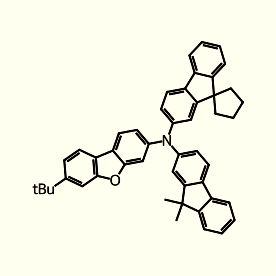 CC(C)(C)c1ccc2c(c1)oc1cc(N(c3ccc4c(c3)C(C)(C)c3ccccc3-4)c3ccc4c(c3)C3(CCCC3)c3ccccc3-4)ccc12